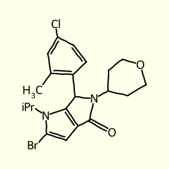 Cc1cc(Cl)ccc1C1c2c(cc(Br)n2C(C)C)C(=O)N1C1CCOCC1